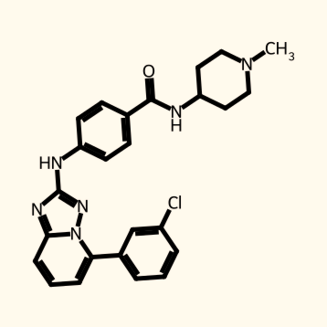 CN1CCC(NC(=O)c2ccc(Nc3nc4cccc(-c5cccc(Cl)c5)n4n3)cc2)CC1